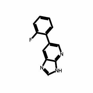 Fc1ccccc1-c1cnc2[nH][c]nc2c1